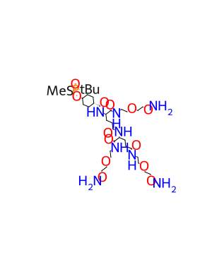 CSP(=O)(O[C@H]1CC[C@H](C(=O)NC(CCC(=O)NC(CCC(=O)NCCOCCON)C(=O)NCCOCCON)C(=O)NCCOCCON)CC1)C(C)(C)C